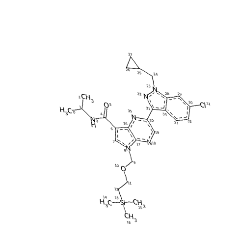 CC(C)NC(=O)c1cn(COCC[Si](C)(C)C)c2ncc(-c3nn(CC4CC4)c4cc(Cl)ccc34)nc12